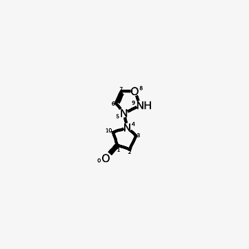 O=C1CCN(N2C=CON2)C1